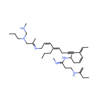 C=C(CC)NCC/C(=N/C)NC(C)C/C=C\C(C#CC/C=C(/C=C\C/N=C(\C)CN(CCC)CNC)CCC)=C/C